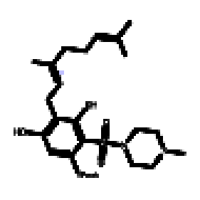 CCCCCc1cc(O)c(C/C=C(\C)CCC=C(C)C)c(O)c1S(=O)(=O)N1CCN(C)CC1